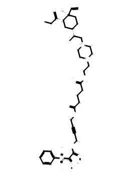 C=C[C@]1(C)CC[C@@H](C(C)CN2CCN(CCOC(=O)CCCC(=O)OCC#CCOc3no[n+](O)c3S(=O)(=O)c3ccccc3)CC2)C[C@H]1C(=C)CCl